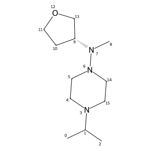 CC(C)N1CCN(N(C)[C@@H]2CCOC2)CC1